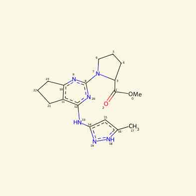 COC(=O)C1CCCN1c1nc2c(c(Nc3cc(C)[nH]n3)n1)CCC2